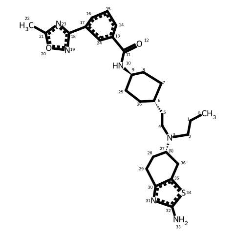 CCCN(CC[C@H]1CC[C@H](NC(=O)c2cccc(-c3noc(C)n3)c2)CC1)[C@H]1CCc2nc(N)sc2C1